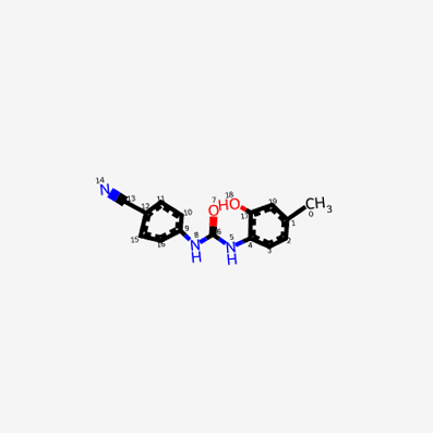 Cc1ccc(NC(=O)Nc2ccc(C#N)cc2)c(O)c1